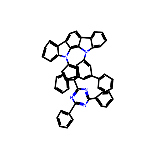 c1ccc(-c2cc(-c3ccccc3)cc(-n3c4ccccc4c4ccc5c6ccccc6n(-c6ccc(-c7nc(-c8ccccc8)nc(-c8ccccc8)n7)cc6)c5c43)c2)cc1